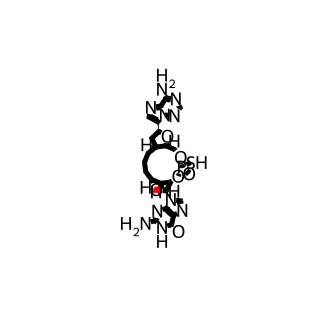 Nc1nc2c(ncn2[C@@H]2O[C@@H]3CCC[C@H]4C[C@H](c5cnc6c(N)ncnn56)O[C@@H]4COP(=O)(S)O[C@@H]2[C@@H]3F)c(=O)[nH]1